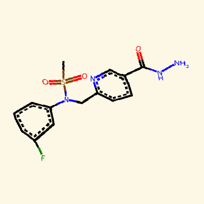 CS(=O)(=O)N(Cc1ccc(C(=O)NN)cn1)c1cccc(F)c1